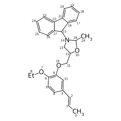 C/C=C/c1ccc(OCC)c(OCC2CN(C3c4ccccc4-c4ccccc43)C(C)O2)c1